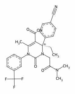 CC[C@@]1(c2ccc(C#N)cc2)C(C(=O)O)=C(C)N(c2cccc(C(F)(F)F)c2)C(=O)N1CC(=O)N(C)C